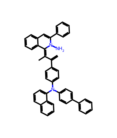 C=C(/C(C)=C1/c2ccccc2C=C(c2ccccc2)N1N)c1ccc(N(c2ccc(-c3ccccc3)cc2)c2cccc3ccccc23)cc1